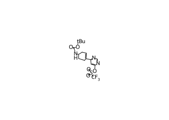 CC(C)(C)OC(=O)NC1CC=C(c2cc(OS(=O)(=O)C(F)(F)F)ncn2)CC1